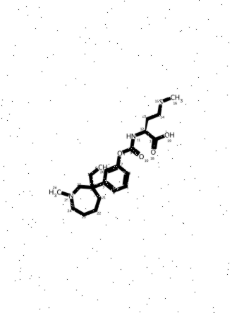 CCC1(c2cccc(OC(=O)N[C@@H](CCSC)C(=O)O)c2)CCCCN(C)C1